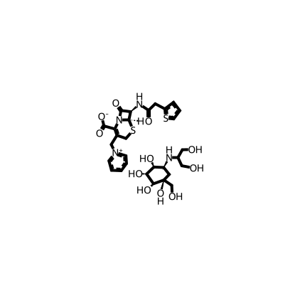 O=C(Cc1cccs1)N[C@@H]1C(=O)N2C(C(=O)[O-])=C(C[n+]3ccccc3)CS[C@H]12.OCC(CO)N[C@H]1C[C@](O)(CO)[C@@H](O)[C@H](O)[C@H]1O